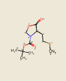 CSCCC1C(=O)OCN1C(=O)OC(C)(C)C